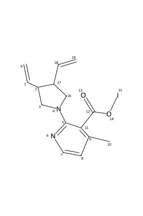 C=CC1CN(c2nccc(C)c2C(=O)OI)CC1C=C